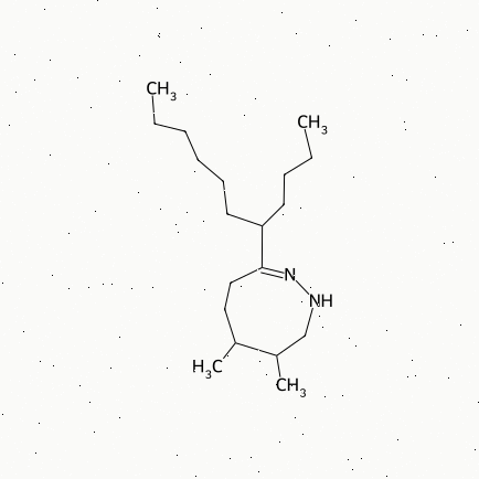 CCCCCCC(CCCC)/C1=N/NCC(C)C(C)CC1